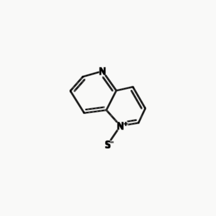 [S-][n+]1cccc2ncccc21